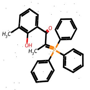 CC(C(=O)c1cccc(C)c1O)=P(c1ccccc1)(c1ccccc1)c1ccccc1